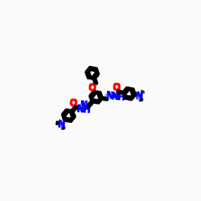 CN(C)c1ccc(C(=O)N/N=C/c2cc(/C=N/NC(=O)c3ccc(N(C)C)cc3)cc(OCc3ccccc3)c2)cc1